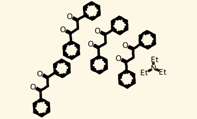 CCN(CC)CC.O=C(CC(=O)c1ccccc1)c1ccccc1.O=C(CC(=O)c1ccccc1)c1ccccc1.O=C(CC(=O)c1ccccc1)c1ccccc1.O=C(CC(=O)c1ccccc1)c1ccccc1